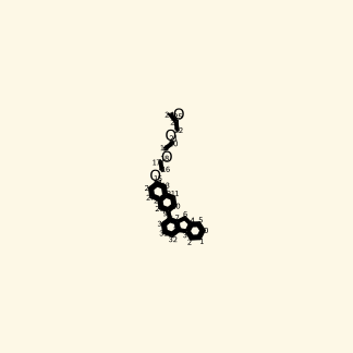 c1ccc2c(c1)Cc1c(-c3ccc4cc(OCCOCCOCC5CO5)ccc4c3)cccc1-2